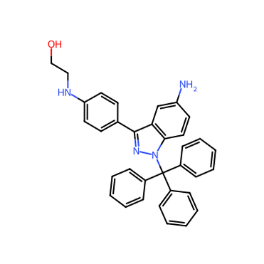 Nc1ccc2c(c1)c(-c1ccc(NCCO)cc1)nn2C(c1ccccc1)(c1ccccc1)c1ccccc1